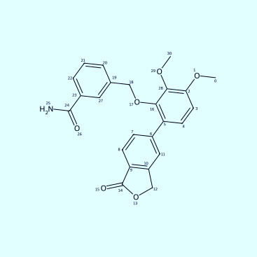 COc1ccc(-c2ccc3c(c2)COC3=O)c(OCc2cccc(C(N)=O)c2)c1OC